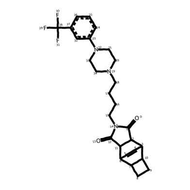 O=C1C2C3C=CC(C4CCC34)C2C(=O)N1CCCCN1CCN(c2cccc(C(F)(F)F)c2)CC1